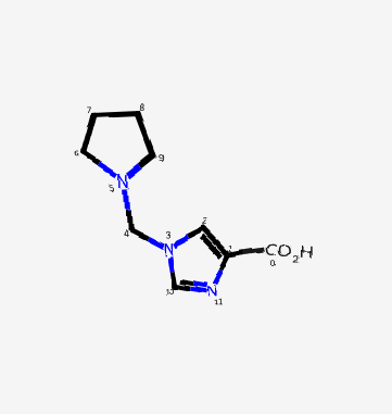 O=C(O)c1cn(CN2CCCC2)cn1